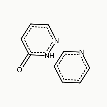 O=c1cccn[nH]1.c1ccncc1